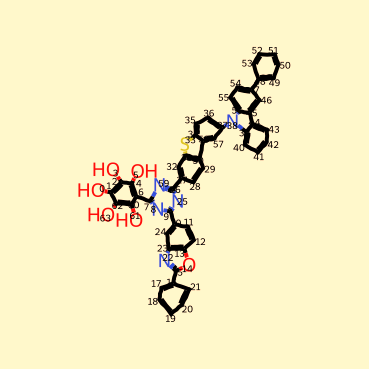 Oc1c(O)c(O)c(-c2nc(-c3ccc4oc(-c5ccccc5)nc4c3)nc(-c3ccc4c(c3)sc3ccc(-n5c6ccccc6c6cc(-c7ccccc7)ccc65)cc34)n2)c(O)c1O